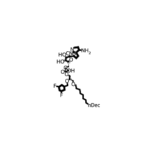 CCCCCCCCCCCCCCCCCCOC[C@H](COP(=O)(O)OC[C@H]1O[C@@](C#N)(c2ccc3c(N)ccnn23)[C@H](O)[C@@H]1O)OCc1cc(F)cc(F)c1